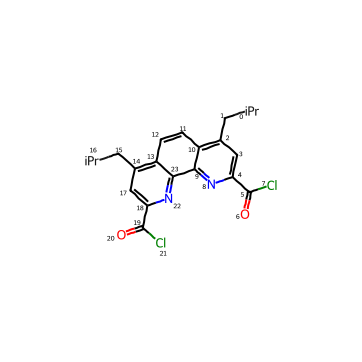 CC(C)Cc1cc(C(=O)Cl)nc2c1ccc1c(CC(C)C)cc(C(=O)Cl)nc12